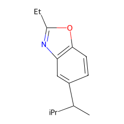 CCc1nc2cc(C(C)C(C)C)ccc2o1